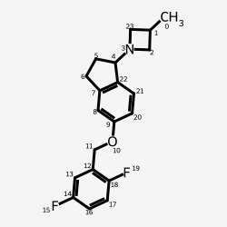 CC1CN(C2CCc3cc(OCc4cc(F)ccc4F)ccc32)C1